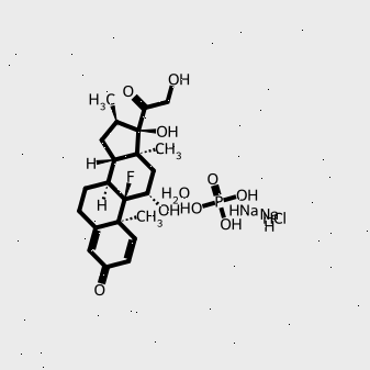 C[C@@H]1C[C@H]2[C@@H]3CCC4=CC(=O)C=C[C@]4(C)[C@@]3(F)[C@@H](O)C[C@]2(C)[C@@]1(O)C(=O)CO.Cl.O.O=P(O)(O)O.[NaH].[NaH]